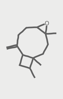 C=C1CCC2OC2(C)CCC2(C)C(C)CC12